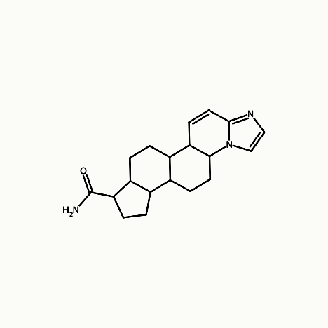 NC(=O)C1CCC2C1CCC1C3C=Cc4nccn4C3CCC12